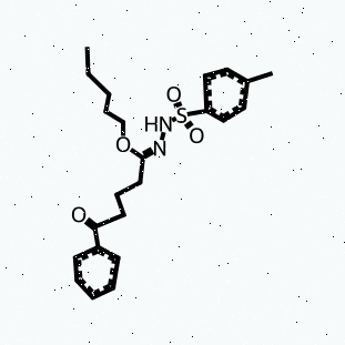 CCCCCOC(CCCC(=O)c1ccccc1)=NNS(=O)(=O)c1ccc(C)cc1